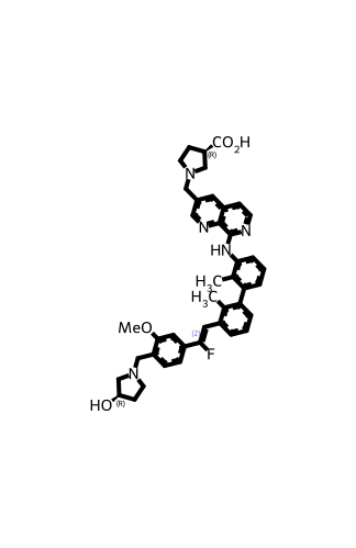 COc1cc(/C(F)=C/c2cccc(-c3cccc(Nc4nccc5cc(CN6CC[C@@H](C(=O)O)C6)cnc45)c3C)c2C)ccc1CN1CC[C@@H](O)C1